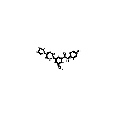 O=C(Nc1ccc(Cl)cc1)c1cc(N2CCC(N3CCCC3)CC2)cc(C(F)(F)F)c1